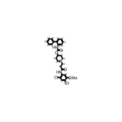 CCc1cc(Cl)c(NC(=O)CCN2CCC(OC(=O)Nc3ccccc3-c3ccccc3)CC2)cc1OC